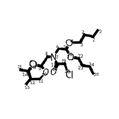 CCCCOC(CN(CC1OCC(C)C(C)O1)C(=O)CCl)OCCCC